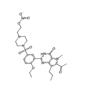 CCCc1c(C(C)=O)n(C)c2c(=O)[nH]c(-c3cc(S(=O)(=O)N4CCN(CCO[N+](=O)[O-])CC4)ccc3OCC)nc12